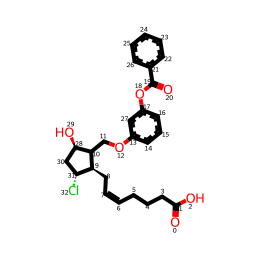 O=C(O)CCC/C=C\C[C@@H]1C(COc2cccc(OC(=O)c3ccccc3)c2)[C@H](O)C[C@H]1Cl